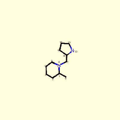 CC1CCCCN1CC1CCC[N]1